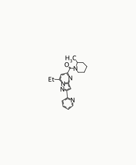 CCc1cc(C(=O)N2CCCCC2C)nc2cc(-c3ccccn3)nn12